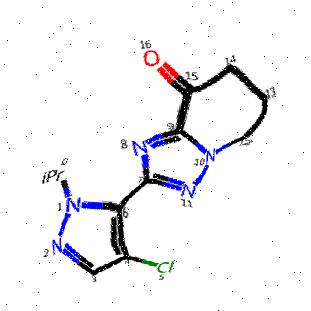 CC(C)n1ncc(Cl)c1-c1nc2n(n1)CCCC2=O